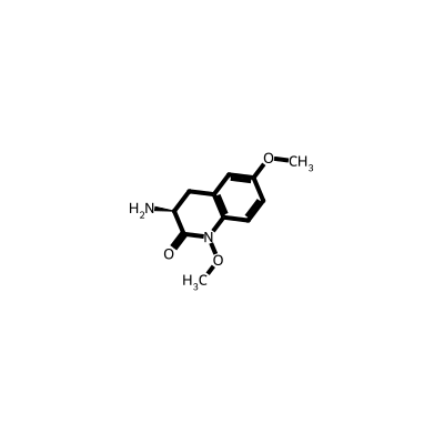 COc1ccc2c(c1)C[C@H](N)C(=O)N2OC